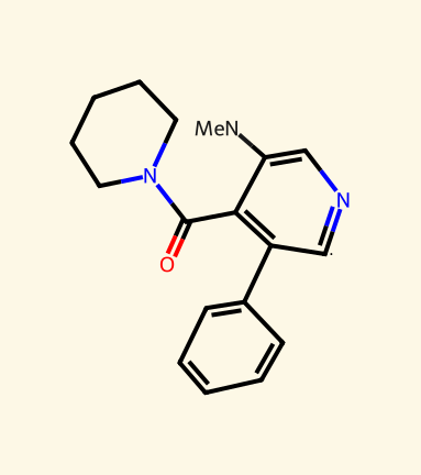 CNc1cn[c]c(-c2ccccc2)c1C(=O)N1CCCCC1